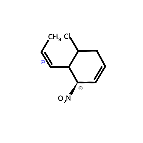 C/C=C\C1C(Cl)CC=C[C@H]1[N+](=O)[O-]